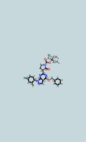 CC(C)(C)OC(=O)N1CCC(c2nc(OCc3ccccc3)c3cnn(-c4ccc(F)cc4F)c3n2)C1=O